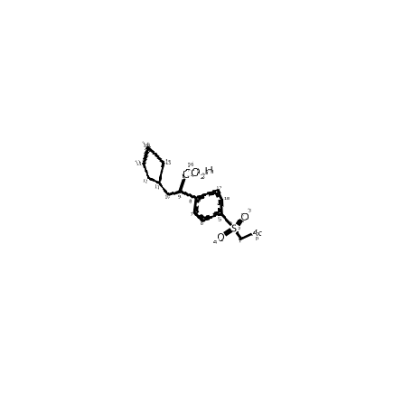 CC(=O)CS(=O)(=O)c1ccc(C(CC2CCCC2)C(=O)O)cc1